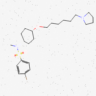 CN([C@H]1CC[C@H](OCCCCCCN2CCCC2)CC1)S(=O)(=O)c1ccc(Br)cc1